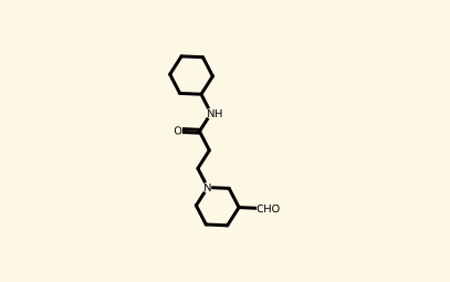 O=CC1CCCN(CCC(=O)NC2CCCCC2)C1